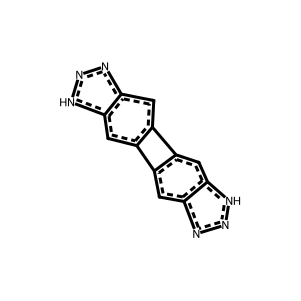 c1c2c(cc3[nH]nnc13)-c1cc3nn[nH]c3cc1-2